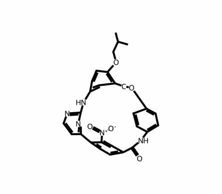 CC(C)COc1ccc2cc1COc1ccc(cc1)NC(=O)c1ccc(c([N+](=O)[O-])c1)-c1ccnc(n1)N2